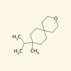 CC(C)C1(C)CCC2(CCOCC2)CC1